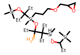 CCC(O[SiH](C)C(CC)(CC)C(P)(CC)O[Si](C)(CCCOCC1CO1)C(CC)(CC)O[Si](C)(C)C)[Si](C)(C)C